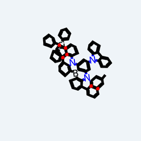 Cc1cccc(N2c3cc(-n4c5ccccc5c5ccccc54)cc4c3B(c3cccc(-c5ccccc5)c32)c2cccc(-c3ccccc3)c2N4c2cccc([Si](c3ccccc3)(c3ccccc3)c3ccccc3)c2)c1